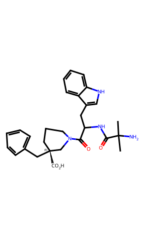 CC(C)(N)C(=O)NC(Cc1c[nH]c2ccccc12)C(=O)N1CCC[C@](Cc2ccccc2)(C(=O)O)C1